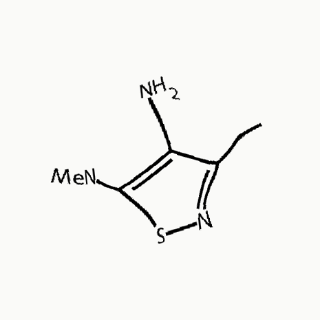 CNc1snc(C)c1N